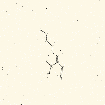 CCCCC/C=C(/C=O)N(C)C